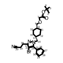 CC(C)(C)OC(=O)COC[C@H]1CC[C@@H](Cn2nc(CCC#N)c(Br)c2-c2ccccc2)CC1